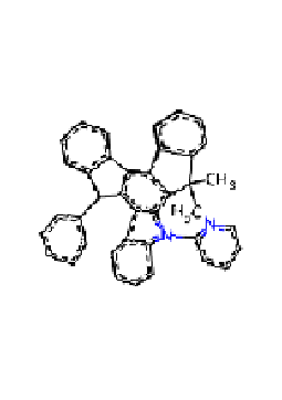 CC1(C)c2ccccc2-c2c3c(c4c5ccccc5n(-c5ccccn5)c4c21)C(c1ccccc1)c1ccccc1-3